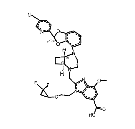 COc1cc(C(=O)O)cc2c1nc(CN1CCN(c3cccc4c3O[C@@](C)(c3ccc(Cl)cn3)O4)[C@H]3CC[C@@H]31)n2CCOC1CC1(F)F